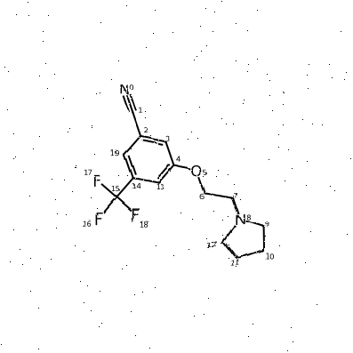 N#Cc1cc(OCCN2CCCC2)cc(C(F)(F)F)c1